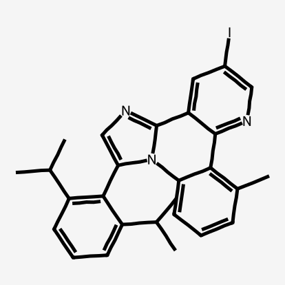 Cc1cccc2c1c1ncc(I)cc1c1ncc(-c3c(C(C)C)cccc3C(C)C)n21